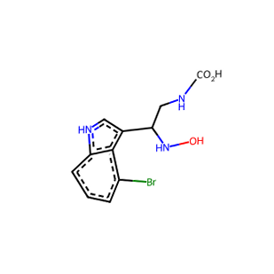 O=C(O)NCC(NO)c1c[nH]c2cccc(Br)c12